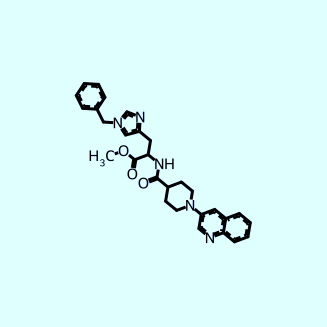 COC(=O)C(Cc1cn(Cc2ccccc2)cn1)NC(=O)C1CCN(c2cnc3ccccc3c2)CC1